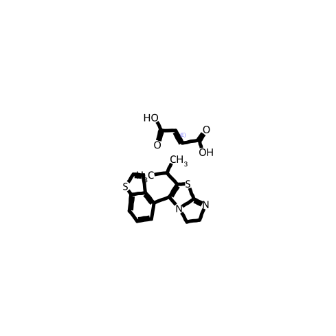 CC(C)C1=C(c2cccc3sccc23)N2CCN=C2S1.O=C(O)/C=C/C(=O)O